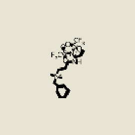 C=CC(NCCC[N+](C)(C)Cc1ccccc1)=[N+](S(=O)(=O)C(F)(F)F)S(=O)(=O)C(F)(F)F